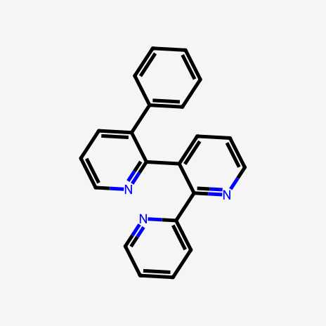 c1ccc(-c2cccnc2-c2cccnc2-c2ccccn2)cc1